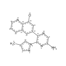 Cc1cnn(-c2nc(N)cnc2-c2cc(Cl)c3ncccc3c2)c1